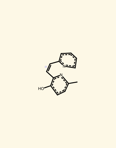 Cc1ccc(O)c(/C=C\c2ccccn2)n1